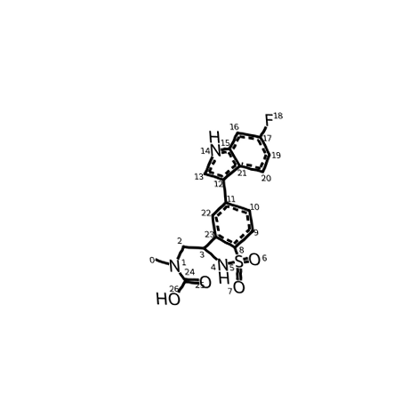 CN(CC1NS(=O)(=O)c2ccc(-c3c[nH]c4cc(F)ccc34)cc21)C(=O)O